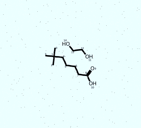 CC(C)(C)CCCCC(=O)O.OCCO